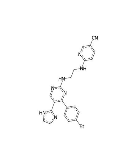 CCc1ccc(-c2nc(NCCNc3ccc(C#N)cn3)ncc2-c2ncc[nH]2)cc1